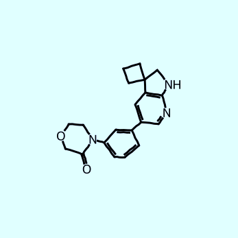 O=C1COCCN1c1cccc(-c2cnc3c(c2)C2(CCC2)CN3)c1